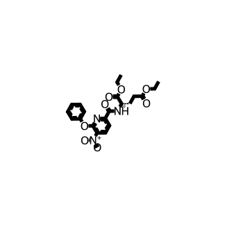 CCOC(=O)CC[C@H](NC(=O)c1ccc([N+](=O)[O-])c(Oc2ccccc2)n1)C(=O)OCC